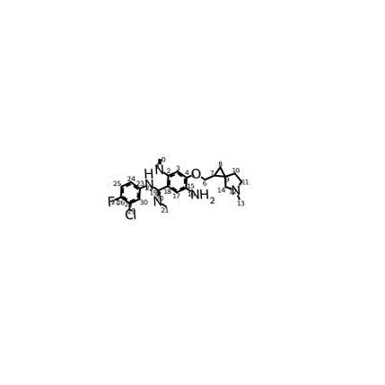 C=Nc1cc(OCC2CC23CCN(C)C3)c(N)cc1/C(=N\C)Nc1ccc(F)c(Cl)c1